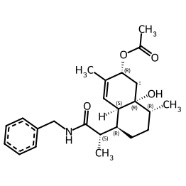 CC(=O)O[C@@H]1[C][C@@]2(O)[C@H](C)CC[C@@H]([C@H](C)C(=O)NCc3ccccc3)[C@H]2C=C1C